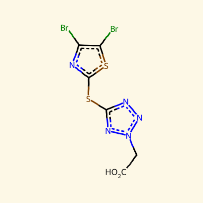 O=C(O)Cn1nnc(Sc2nc(Br)c(Br)s2)n1